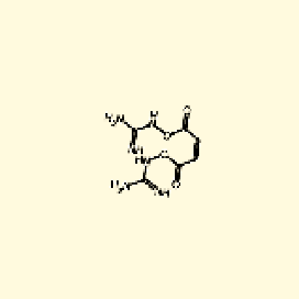 N=C(N)NOC(=O)/C=C\C(=O)ONC(=N)N